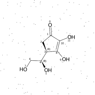 O=C1C[C@H]([C@@H](O)CO)C(O)=C1O